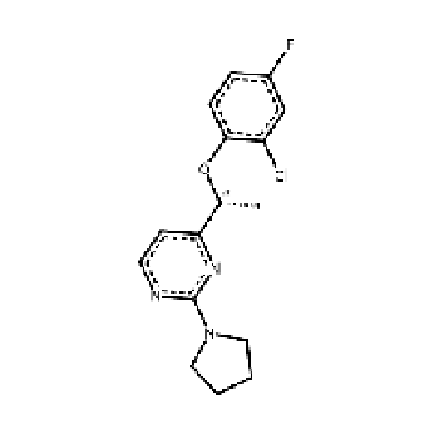 C[C@@H](Oc1ccc(F)cc1Cl)c1ccnc(N2CCCC2)n1